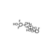 Oc1c(F)cc([C@H](O)CN2C[C@H]3C[C@H](Oc4ccccc4F)[C@H](O)[C@@]3(O)C2)cc1F